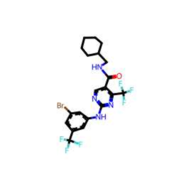 O=C(NCC1CCCCC1)c1cnc(Nc2cc(Br)cc(C(F)(F)F)c2)nc1C(F)(F)F